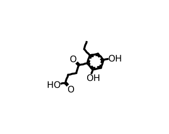 CCc1cc(O)cc(O)c1C(=O)CCC(=O)O